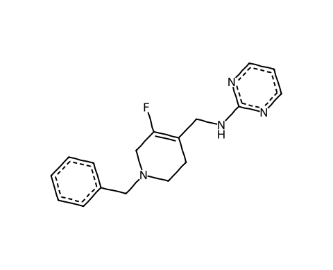 FC1=C(CNc2ncccn2)CCN(Cc2ccccc2)C1